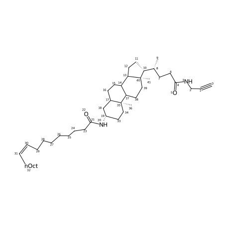 C#CCNC(=O)CC[C@@H](C)[C@H]1CCC2C3CCC4C[C@@H](NC(=O)CCCCCCC/C=C\CCCCCCCC)CC[C@]4(C)C3CC[C@@]21C